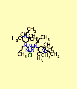 C=CCN1C(C)(C)CC(N(CCCC)c2nc(Cl)nc(N(CCCC)C3CC(C)(C)N(CC=C)C(C)(C)C3)n2)CC1(C)C